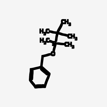 CC(C)(C)[Si](C)(C)OCc1ccccc1